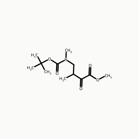 COC(=O)C(=O)C(C)CN(C)C(=O)OC(C)(C)C